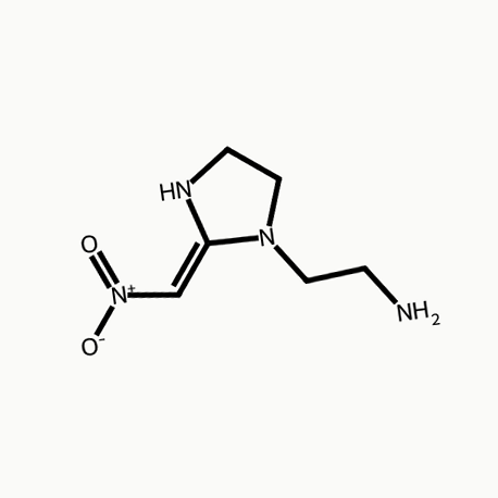 NCCN1CCN/C1=C\[N+](=O)[O-]